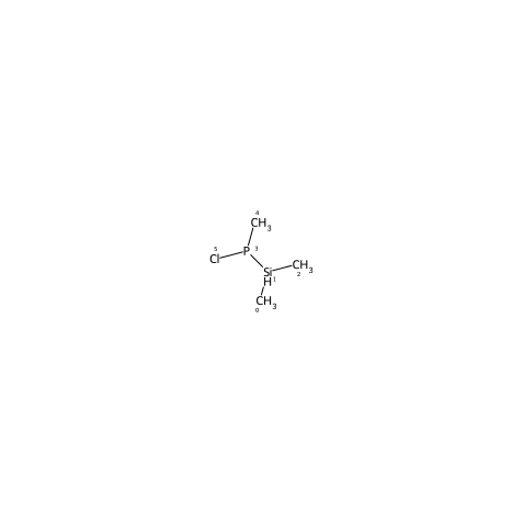 C[SiH](C)P(C)Cl